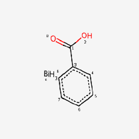 O=C(O)c1ccccc1.[BiH3]